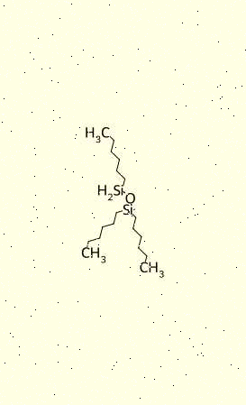 CCCCCC[SiH2]O[Si](CCCCCC)CCCCCC